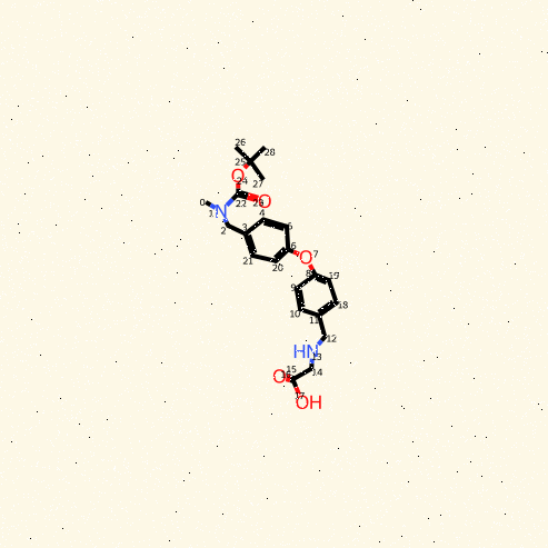 CN(Cc1ccc(Oc2ccc(CNCC(=O)O)cc2)cc1)C(=O)OC(C)(C)C